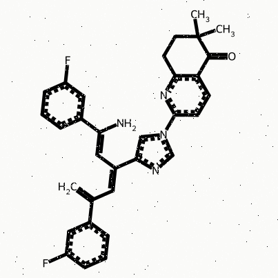 C=C(/C=C(\C=C(/N)c1cccc(F)c1)c1cn(-c2ccc3c(n2)CCC(C)(C)C3=O)cn1)c1cccc(F)c1